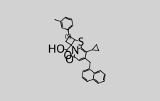 Cc1cccc([C@@H]2CC3(C(=O)O)C2Sc2c(C4CC4)c(Cc4cccc5ccccc45)cc(=O)n23)c1